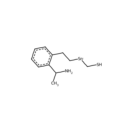 CC(N)c1ccccc1C[CH2][Sn][CH2]S